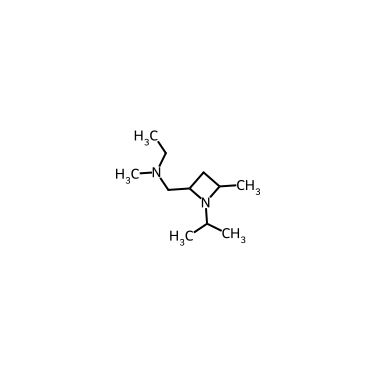 CCN(C)CC1CC(C)N1C(C)C